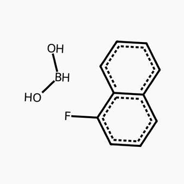 Fc1cccc2ccccc12.OBO